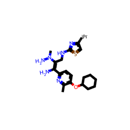 Cc1nc(/C(N)=C(\CNc2nc(C(C)C)cs2)N(C)N)ccc1OC1CCCCC1